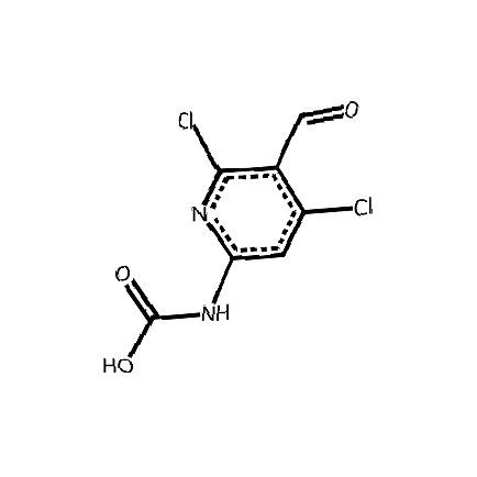 O=Cc1c(Cl)cc(NC(=O)O)nc1Cl